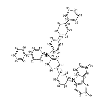 Cc1ccc2c(c1)c1cc(C)ccc1n2C1C=C(C2=CC=C(N(c3ccc(C4=CC=C(c5ccccc5)CC4)cc3)c3ccc(-c4ccccc4)cc3)CC2)C=CC1